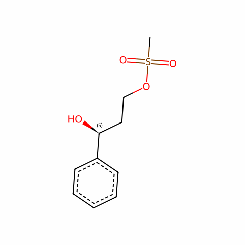 CS(=O)(=O)OCC[C@H](O)c1ccccc1